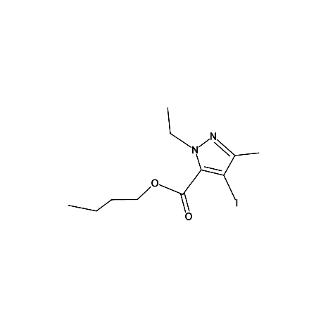 CCCCOC(=O)c1c(I)c(C)nn1CC